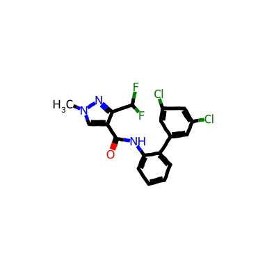 Cn1cc(C(=O)Nc2ccccc2-c2cc(Cl)cc(Cl)c2)c(C(F)F)n1